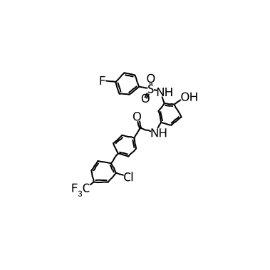 O=C(Nc1ccc(O)c(NS(=O)(=O)c2ccc(F)cc2)c1)c1ccc(-c2ccc(C(F)(F)F)cc2Cl)cc1